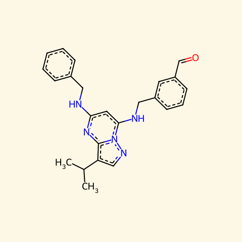 CC(C)c1cnn2c(NCc3cccc(C=O)c3)cc(NCc3ccccc3)nc12